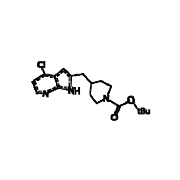 CC(C)(C)OC(=O)N1CCC(Cc2cc3c(Cl)ccnc3[nH]2)CC1